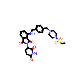 CCS(=O)(=O)N1CCN(Cc2ccc(CNc3cccc4c3C(=O)N(C3CCC(=O)NC3=O)C4=O)cc2)CC1